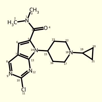 CN(C)C(=O)c1cc2cnc(Cl)nc2n1C1CCN(C2CC2)CC1